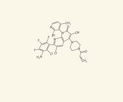 C=CC(=O)N1CCN(c2c(C#N)c(=O)n(-c3c(C)ccnc3C(C)C)c3nc(-c4c(F)c(F)c(F)c(N)c4Cl)c(Cl)cc23)CC1